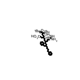 CC(C)(C)OC(=O)C(CCC(CCC(=O)O)CCC(CCCNC(=N)N)CCC(CCCCc1ccccc1)Cc1ccccc1)C(O)C(C)(C)C